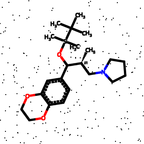 C[C@H](CN1CCCC1)C(O[Si](C)(C)C(C)(C)C)c1ccc2c(c1)OCCO2